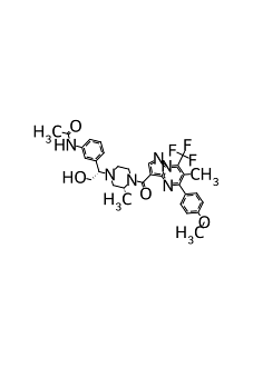 COc1ccc(-c2nc3c(C(=O)N4CCN([C@H](CO)c5cccc(NC(C)=O)c5)C[C@H]4C)cnn3c(C(F)(F)F)c2C)cc1